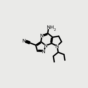 CCC(CC)N1CCc2c(N)nc3c(C#N)cnn3c21